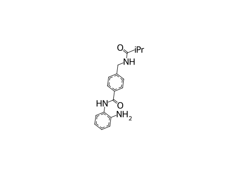 CC(C)C(=O)NCc1ccc(C(=O)Nc2ccccc2N)cc1